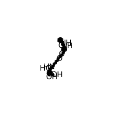 O=C(Nc1ccccc1)Nc1ccc(COCCOCCCCCCNC[C@@H](O)c2ccc(O)c(CO)c2)cc1